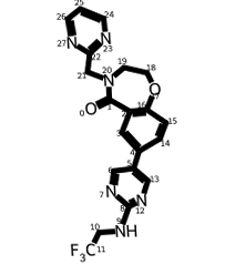 O=C1c2cc(-c3cnc(NCC(F)(F)F)nc3)ccc2OCCN1Cc1ncccn1